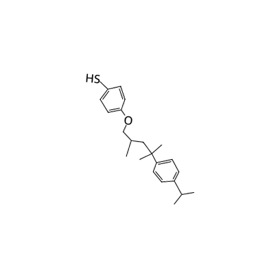 CC(COc1ccc(S)cc1)CC(C)(C)c1ccc(C(C)C)cc1